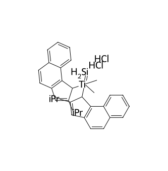 CC(C)C1=Cc2ccc3ccccc3c2[CH]1[Ti]([CH3])([CH3])(=[SiH2])[CH]1C(C(C)C)=Cc2ccc3ccccc3c21.Cl.Cl